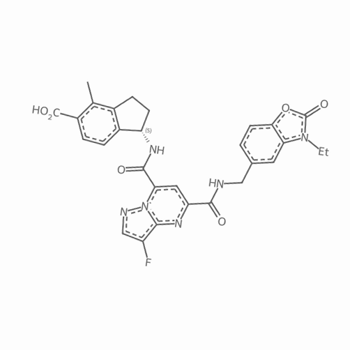 CCn1c(=O)oc2ccc(CNC(=O)c3cc(C(=O)N[C@H]4CCc5c4ccc(C(=O)O)c5C)n4ncc(F)c4n3)cc21